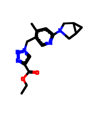 CCOC(=O)c1cn(Cc2cnc(N3CC4CC4C3)cc2C)nn1